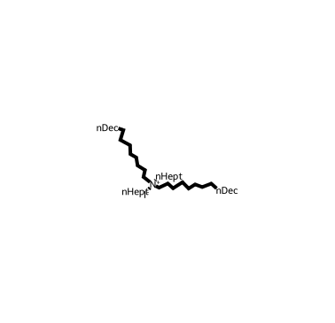 CCCCCCCCCCCCCCCCCC[N+](CCCCCCC)(CCCCCCC)CCCCCCCCCCCCCCCCCC.[I-]